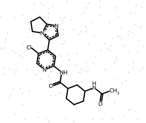 CC(=O)NC1CCCC(C(=O)Nc2cc(-c3cnc4n3CCC4)c(Cl)cn2)C1